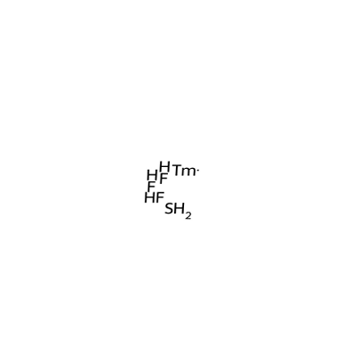 F.F.F.S.[Tm]